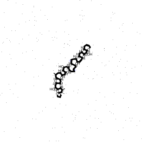 C[C@@H]1C[C@@H]2O[C@@H]3[C@@H](C)[C@H](O)[C@@H]4O[C@]5(CCCO5)[C@@H](C)[C@H](C)[C@H]4O[C@H]3C[C@H]2O[C@H]2C[C@H]3O[C@H]4C/C=C/C[C@H]5O[C@H]6C=C[C@H]7O[C@H]8[C@H](O)[C@H]9OCC=CC[C@@H]9O[C@@H]8C[C@@H]7O[C@@H]6C/C=C\[C@@H]5O[C@@H]4C[C@H](O)[C@]3(C)O[C@@H]2C1